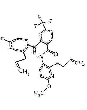 C=CCCc1nc(OC)ccc1NC(=O)c1cnc(C(F)(F)F)cc1Nc1ccc(F)cc1CC=C